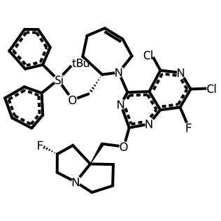 CC(C)(C)[Si](OC[C@@H]1CCC=CCN1c1nc(OC[C@@]23CCCN2C[C@H](F)C3)nc2c(F)c(Cl)nc(Cl)c12)(c1ccccc1)c1ccccc1